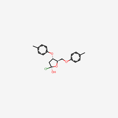 Cc1ccc(OC[C@H]2O[C@@](O)(Cl)C[C@@H]2Oc2ccc(C)cc2)cc1